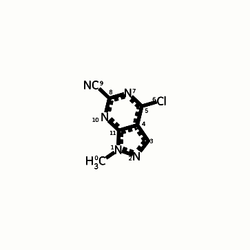 Cn1ncc2c(Cl)nc(C#N)nc21